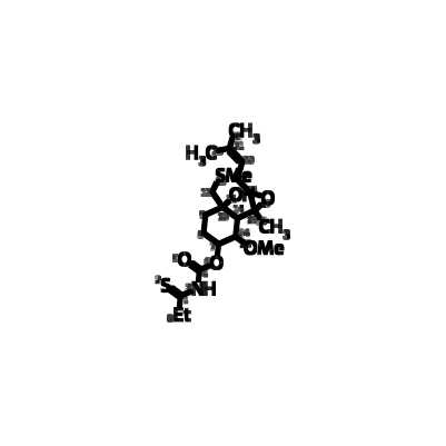 CCC(=S)NC(=O)OC1CCC(O)(CSC)C(C2(C)OC2CC=C(C)C)C1OC